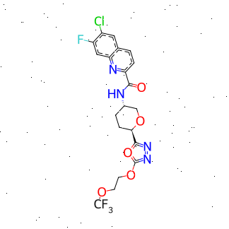 O=C(N[C@H]1CC[C@H](c2nnc(OCCOC(F)(F)F)o2)OC1)c1ccc2cc(Cl)c(F)cc2n1